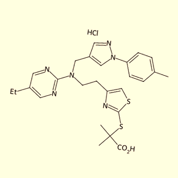 CCc1cnc(N(CCc2csc(SC(C)(C)C(=O)O)n2)Cc2cnn(-c3ccc(C)cc3)c2)nc1.Cl